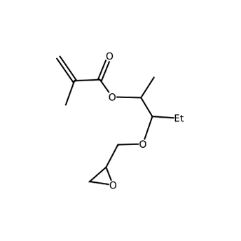 C=C(C)C(=O)OC(C)C(CC)OCC1CO1